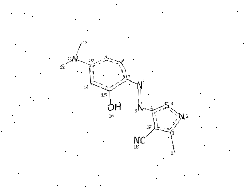 Cc1nsc(/N=N/c2ccc(N(C)C)cc2O)c1C#N